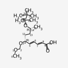 COCO[C@@H](C=CC=CC(=O)O)CC[C@@H](C)O[Si](C)(C)C(C)(C)C